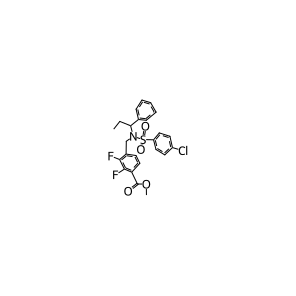 CCC(c1ccccc1)N(Cc1ccc(C(=O)OC)c(F)c1F)S(=O)(=O)c1ccc(Cl)cc1